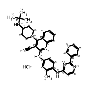 Cc1cc(Nc2nc3ccccc3c(N3CCC(NC(C)(C)C)CC3)c2C#N)ccc1Nc1ccnc(-c2cccnc2)n1.Cl